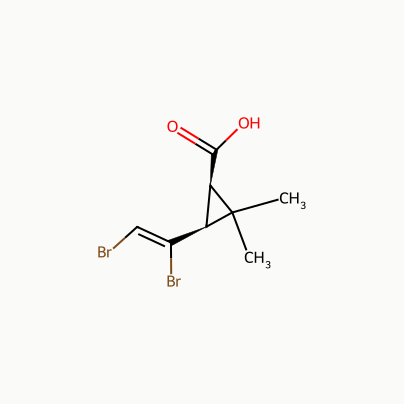 CC1(C)[C@H](C(=O)O)[C@@H]1C(Br)=CBr